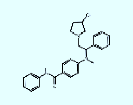 CN(c1ccc(C(=O)Nc2ccccc2)cc1)C(CN1CCC(O)C1)c1ccccc1